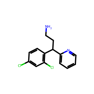 NCCC(c1ccccn1)c1ccc(Cl)cc1Cl